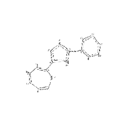 C1=CSC(c2csc(-c3ccccc3)n2)=CN=C1